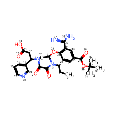 CCCN1C(=O)C(=O)N(C(CC(=O)O)c2cccnc2)CC1Oc1ccc(C(=O)OC(C)(C)C)cc1C(=N)N